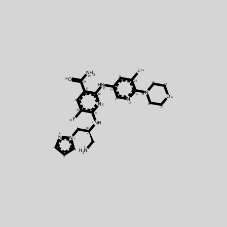 NC[C@@H](Cn1cccn1)Nc1nc(Nc2cnc(N3CCOCC3)c(F)c2)c(C(N)=O)cc1F